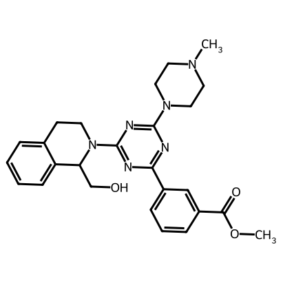 COC(=O)c1cccc(-c2nc(N3CCN(C)CC3)nc(N3CCc4ccccc4C3CO)n2)c1